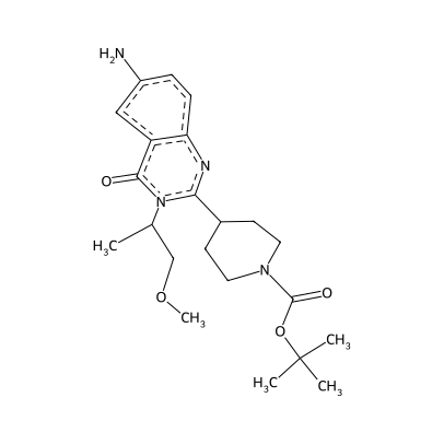 COCC(C)n1c(C2CCN(C(=O)OC(C)(C)C)CC2)nc2ccc(N)cc2c1=O